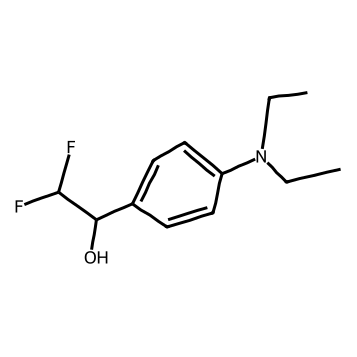 CCN(CC)c1ccc(C(O)C(F)F)cc1